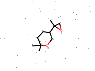 CC1(C)CCC(C2(C)CO2)CO1